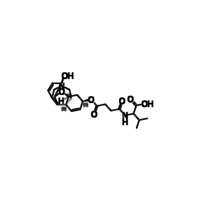 CC(C)C(NC(=O)CCC(=O)O[C@H]1C=C[C@@]23CCN(C)CC4=C2C(O[C@H]3C1)C(O)C=C4)C(=O)O